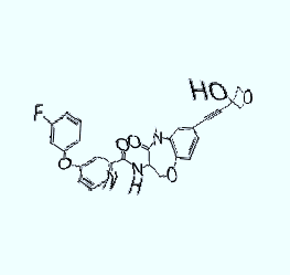 CN1C(=O)C(NC(=O)c2cc(Oc3cccc(F)c3)ccn2)COc2ccc(C#CC3(O)COC3)cc21